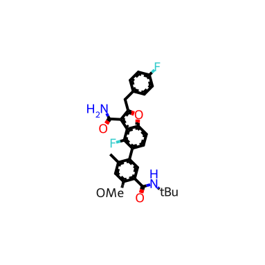 COc1cc(C)c(-c2ccc3oc(Cc4ccc(F)cc4)c(C(N)=O)c3c2F)cc1C(=O)NC(C)(C)C